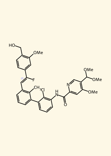 COc1cc(/C(F)=C/c2cccc(-c3cccc(NC(=O)c4cc(OC)c(C(OC)OC)cn4)c3Cl)c2C)ccc1CO